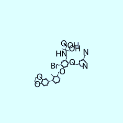 Cc1c(COc2cc(OCc3cncc(C#N)c3)c(CNC(C)(CO)C(=O)O)cc2Br)cccc1-c1ccc2c(c1)OCCO2